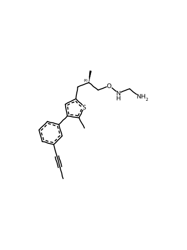 CC#Cc1cccc(-c2cc(C[C@@H](C)CONCN)sc2C)c1